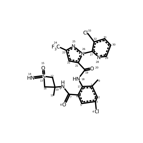 Cc1cc(Cl)cc(C(=O)NC2(C)CS(=N)(=O)C2)c1NC(=O)c1cc(C(F)(F)F)nn1-c1ncccc1Cl